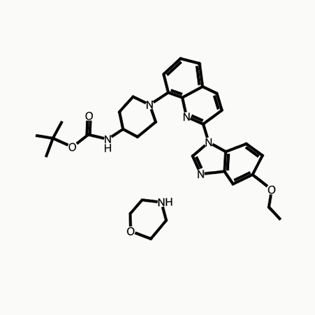 C1COCCN1.CCOc1ccc2c(c1)ncn2-c1ccc2cccc(N3CCC(NC(=O)OC(C)(C)C)CC3)c2n1